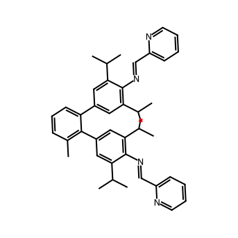 Cc1cccc(-c2cc(C(C)C)c(N=Cc3ccccn3)c(C(C)C)c2)c1-c1cc(C(C)C)c(N=Cc2ccccn2)c(C(C)C)c1